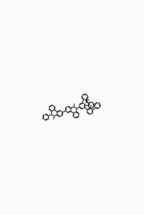 CC1c2ccc(-c3ccc4c(c3)-c3ccccc3C(c3cc(-c5cccc6c5oc5ccccc56)c5sc6ccccc6c5c3)C4C)cc2-c2ccccc2C1c1ccccc1